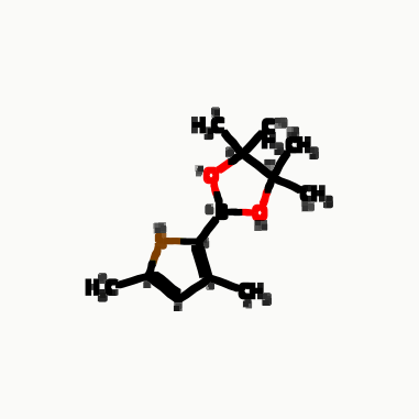 Cc1cc(C)c(B2OC(C)(C)C(C)(C)O2)s1